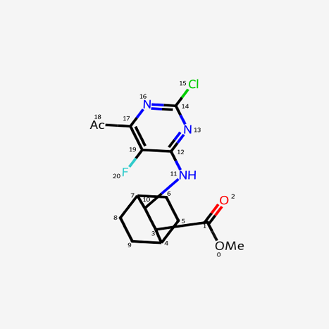 COC(=O)C1C2CCC(CC2)C1Nc1nc(Cl)nc(C(C)=O)c1F